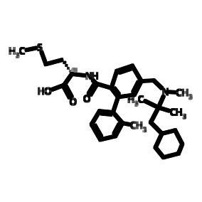 CSCC[C@H](NC(=O)c1ccc(CN(C)C(C)(C)CC2CCCCC2)cc1-c1ccccc1C)C(=O)O